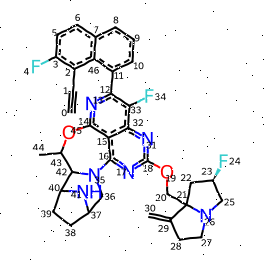 C#Cc1c(F)ccc2cccc(-c3nc4c5c(nc(OCC67C[C@@H](F)CN6CCC7=C)nc5c3F)N3CC5CCC(N5)C3C(C)O4)c12